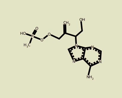 C=C(COOP(C)(=O)O)C(CO)n1cnc2c(N)ncnc21